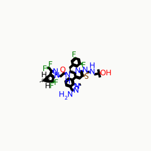 C[C@@H]1[C@@H]2c3c(C(F)F)nn(CC(=O)N[C@@H](Cc4cc(F)cc(F)c4)c4nc5nc(NCC(C)(C)O)sc5cc4-c4cccc5c(N)nn(C)c45)c3C(F)(F)[C@H]12